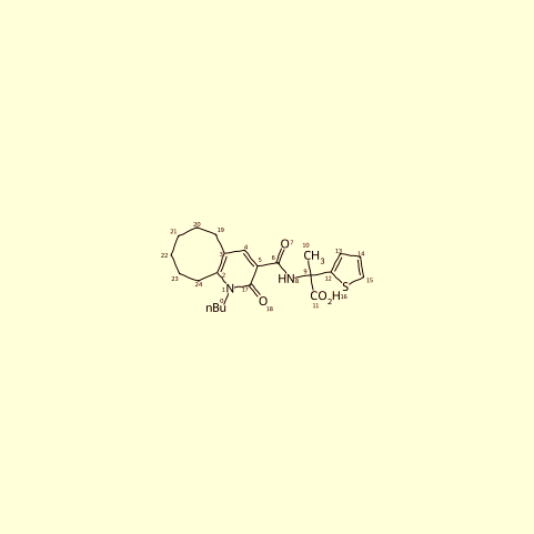 CCCCn1c2c(cc(C(=O)NC(C)(C(=O)O)c3cccs3)c1=O)CCCCCC2